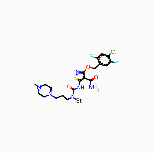 CCN(CCCN1CCN(C)CC1)C(=O)Nc1snc(OCc2cc(F)c(Cl)cc2F)c1C(N)=O